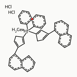 Cl.Cl.[GeH2]=[Hf]([C]1=CC(c2cccc3ccccc23)=CC1)([C]1=CC(c2cccc3ccccc23)=CC1)([c]1ccccc1)[c]1ccccc1